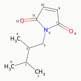 CC(C)C(C)CN1C(=O)C=CC1=O